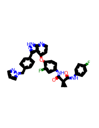 O=C(Nc1ccc(F)cc1)C1(C(=O)Nc2ccc(Oc3ccnc4[nH]nc(-c5ccc(Cn6cccn6)cc5)c34)c(F)c2)CC1